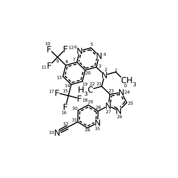 CCN(c1ncnc2c(C(F)(F)F)cc(C(F)(F)F)cc12)C(C)c1ncnn1-c1ccc(C#N)cn1